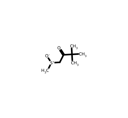 C[S+]([O-])CC(=O)C(C)(C)C